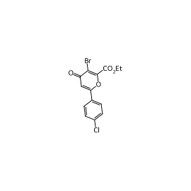 CCOC(=O)c1oc(-c2ccc(Cl)cc2)cc(=O)c1Br